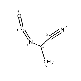 [CH2]C(C#N)N=C=O